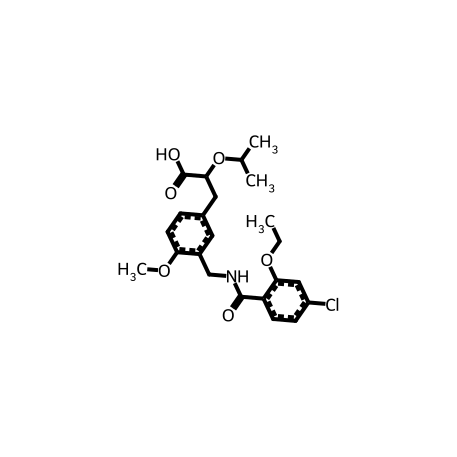 CCOc1cc(Cl)ccc1C(=O)NCc1cc(CC(OC(C)C)C(=O)O)ccc1OC